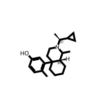 Cc1ccc(O)cc1C12CCCC[C@H]1C(C)N([C@@H](C)C1CC1)CC2